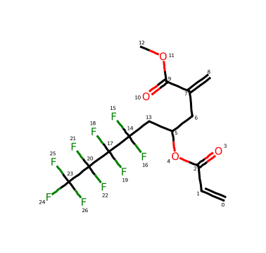 C=CC(=O)OC(CC(=C)C(=O)OC)CC(F)(F)C(F)(F)C(F)(F)C(F)(F)F